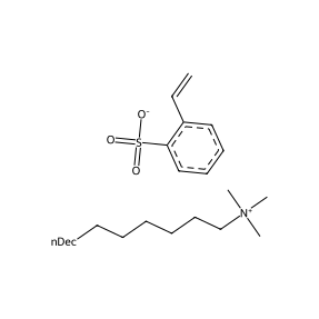 C=Cc1ccccc1S(=O)(=O)[O-].CCCCCCCCCCCCCCCC[N+](C)(C)C